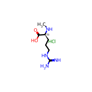 CN[C@@H](CCCNC(=N)N)C(=O)O.Cl